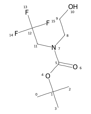 CC(C)(C)OC(=O)N(CCO)CC(F)(F)F